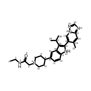 CCNC(=O)CN1CCC(c2ccc3[nH]c(-c4cn5ncnc5cc4C)c(C(C)C)c3c2)CC1